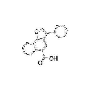 O=C(O)c1cc2c(-c3ccccc3)coc2c2ccccc12